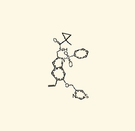 C=Cc1cc2cc(CNC(=O)C3(C)CC3)n(S(=O)(=O)c3ccccc3)c2cc1OCc1cscn1